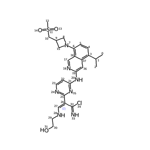 CC(C)c1ccc(N2CC(CS(C)(=O)=O)C2)c2cnc(Nc3ccnc(/C(=C/NCCO)C(=N)Cl)n3)cc12